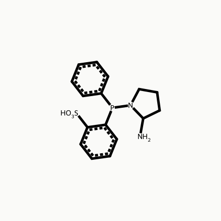 NC1CCCN1P(c1ccccc1)c1ccccc1S(=O)(=O)O